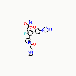 COc1cc(N2CCNCC2)ccc1-c1cc(C2=CCCN(C(=O)CCn3cccn3)C2)c(F)c2cc(C(=O)N(C)C)oc12